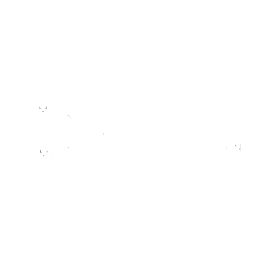 CO[C@@H]1CC2(C=C3CC(c4cccc(C#N)c4)=CC=C3C2)C(=O)[C@@H]1OC